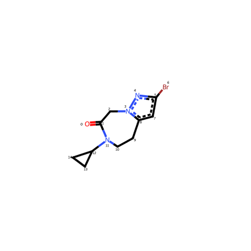 O=C1Cn2nc(Br)cc2CCN1C1CC1